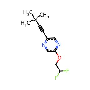 C[Si](C)(C)C#Cc1cnc(OCC(F)F)cn1